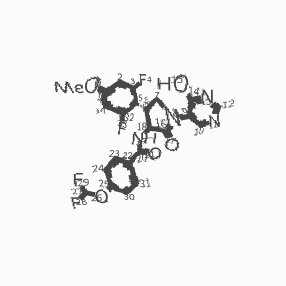 COc1cc(F)c([C@@H]2CN(c3cncnc3O)C(=O)C2NC(=O)c2ccc(OC(F)F)cc2)c(F)c1